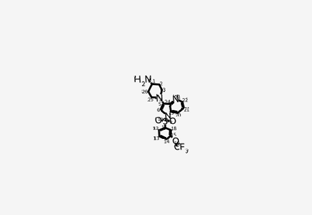 NC1CCN(c2cn(S(=O)(=O)c3cccc(OC(F)(F)F)c3)c3cccnc23)CC1